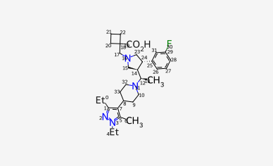 CCc1nn(CC)c(C)c1C1CCN([C@H](C)[C@H]2CN(CC3(C(=O)O)CCC3)C[C@@H]2c2cccc(F)c2)CC1